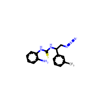 [N-]=[N+]=NCC(NC(=S)Nc1ccccc1N)c1cccc(C(F)(F)F)c1